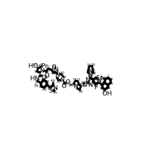 CCc1cccc2cc(O)cc(-c3ncc4c(N5CC6CCC(C5)N6)nc(OC[C@]56CCCN5[C@H](COC(=O)N5CCN(c7cc([C@@H](C(=O)N8C[C@H](O)C[C@H]8C(=O)N[C@@H](C)c8ccc(-c9scnc9C)cc8)C(C)C)on7)CC5)CC6)nc4c3F)c12